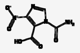 NC(=O)n1cnc([N+](=O)[O-])c1C(=O)O